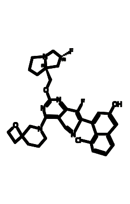 Oc1cc(-c2ncc3c(N4CCCC5(CCO5)C4)nc(OC[C@@]45CCCN4C[C@H](F)C5)nc3c2F)c2c(Cl)cccc2c1